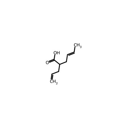 C=CCC(CC=CC)C(=O)O